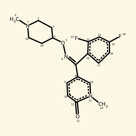 CN1CCC(O/N=C(/c2ccc(=O)n(C)c2)c2ccc(F)cc2F)CC1